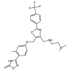 Cc1cc(OCc2sc(-c3ccc(C(F)(F)F)cc3)nc2CNCCN(C)C)ccc1-c1noc(=O)[nH]1